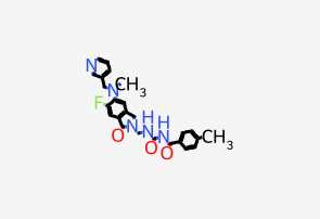 Cc1ccc(C(=O)NC(=O)NCN2Cc3cc(N(C)Cc4cccnc4)c(F)cc3C2=O)cc1